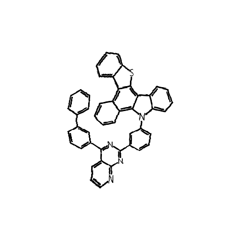 c1ccc(-c2cccc(-c3nc(-c4cccc(-n5c6ccccc6c6c7sc8ccccc8c7c7ccccc7c65)c4)nc4ncccc34)c2)cc1